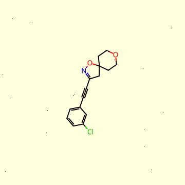 Clc1cccc(C#CC2=NOC3(CCOCC3)C2)c1